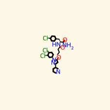 NC(=O)[C@H](Cc1ccc(Cl)cc1)NC(=O)CCCOc1cc(-c2cccnc2)nn1-c1ccc(Cl)c(Cl)c1